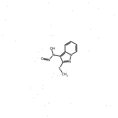 CSc1nn2ccccc2c1N(O)N=O